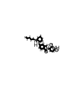 C=CCCCN[C@H]1CCCC[C@@H]1Cc1ccc2c(c1)CN(C1CCC(=O)NC1=O)C2=O